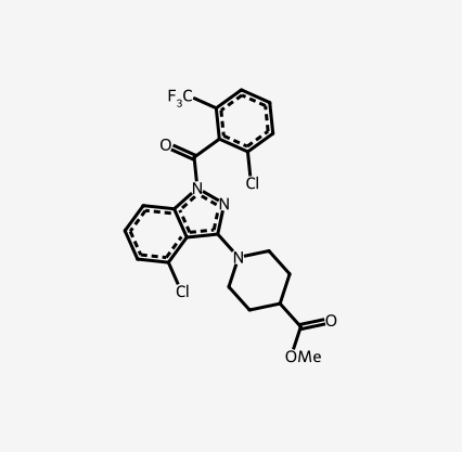 COC(=O)C1CCN(c2nn(C(=O)c3c(Cl)cccc3C(F)(F)F)c3cccc(Cl)c23)CC1